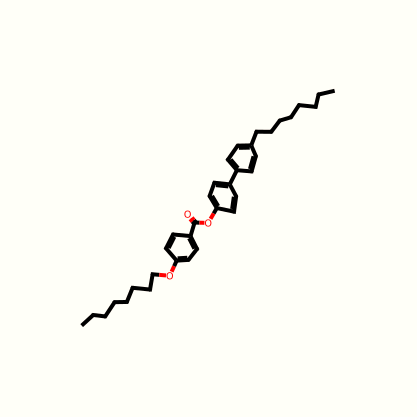 CCCCCCCCOc1ccc(C(=O)Oc2ccc(-c3ccc(CCCCCCCC)cc3)cc2)cc1